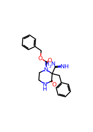 N=C(N)C1(Cc2ccccc2)C(=O)NCCN1C(=O)OCc1ccccc1